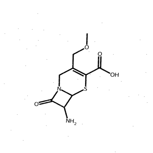 COCC1=C(C(=O)O)SC2C(N)C(=O)N2C1